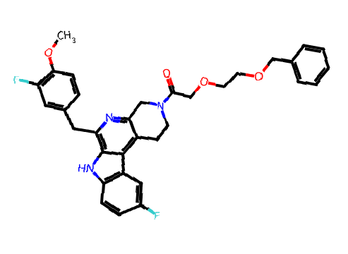 COc1ccc(Cc2nc3c(c4c2[nH]c2ccc(F)cc24)CCN(C(=O)COCCOCc2ccccc2)C3)cc1F